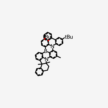 Cc1cc2c3c(c1)N1c4c(cccc4C4(C)c5ccccc5CCC14C)B3c1ccc(C(C)(C)C)cc1N2c1ccc(C(C)(C)C)cc1-c1ccccc1